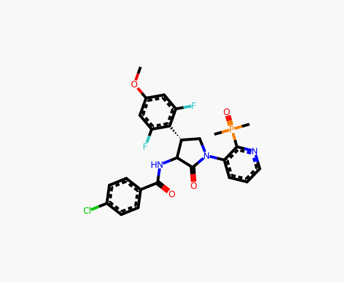 COc1cc(F)c([C@@H]2CN(c3cccnc3P(C)(C)=O)C(=O)C2NC(=O)c2ccc(Cl)cc2)c(F)c1